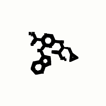 NC(=O)c1ncc(N[C@H](CC2CC2)C(N)=O)nc1Nc1csc2ncccc12